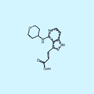 COC(=O)/C=C/c1n[nH]c2ccnc(NC3CCOCC3)c12